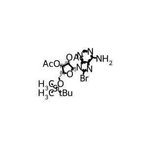 CC(=O)O[C@@H]1[C@H](OC(C)=O)[C@@H](CO[Si](C)(C)C(C)(C)C)O[C@H]1n1c(Br)nc2c(N)ncnc21